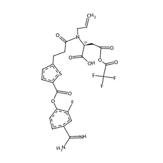 C=CCN(C(=O)CCc1ccc(C(=O)Oc2ccc(C(=N)N)cc2F)s1)[C@@H](CC(=O)OC(=O)C(F)(F)F)C(=O)O